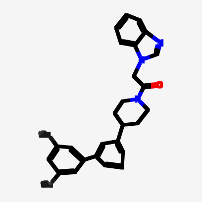 CC(C)(C)c1cc(-c2cccc(C3CCN(C(=O)Cn4cnc5ccccc54)CC3)c2)cc(C(C)(C)C)c1